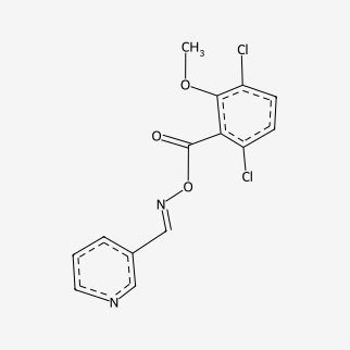 COc1c(Cl)ccc(Cl)c1C(=O)ON=Cc1cccnc1